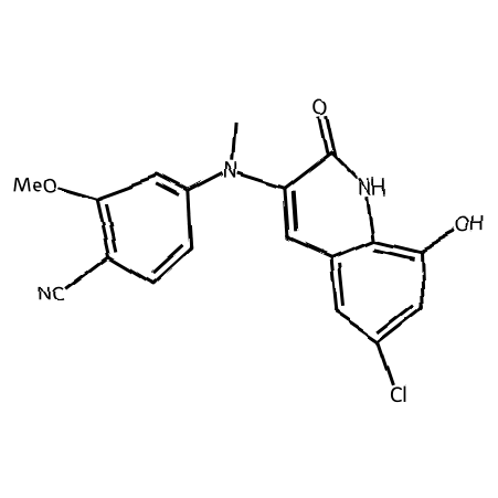 COc1cc(N(C)c2cc3cc(Cl)cc(O)c3[nH]c2=O)ccc1C#N